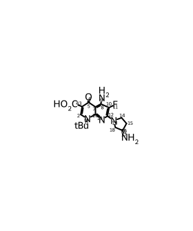 CC(C)(C)n1cc(C(=O)O)c(=O)c2c(N)c(F)c(N3CC[C@@H](N)C3)nc21